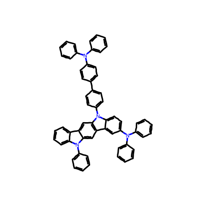 c1ccc(N(c2ccccc2)c2ccc(-c3ccc(-n4c5ccc(N(c6ccccc6)c6ccccc6)cc5c5cc6c(cc54)c4ccccc4n6-c4ccccc4)cc3)cc2)cc1